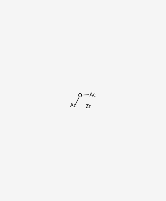 CC(=O)OC(C)=O.[Zr]